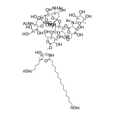 CCCCCCCCCCCCC/C=C/[C@@H](O)[C@H](CO[C@@H]1OC(CO)[C@@H](O[C@@H]2OC(CO)[C@H](O[C@@H]3OC(CO)[C@H](O)[C@H](O)C3N(C(C)=O)[C@H]3OC(C)[C@@H](O)C(O)[C@@H]3O)[C@H](O[C@]3(C(=O)O)CC(O)[C@@H](NC(C)=O)C([C@H](O)[C@@H](CO)O[C@]4(C(=O)O)CC(O)[C@@H](NC(C)=O)C([C@H](O)[C@H](O)CO)O4)O3)C2O)[C@H](O)C1O)NC(=O)CCCCCCCCCCCCCCCCCCCCCCCCC